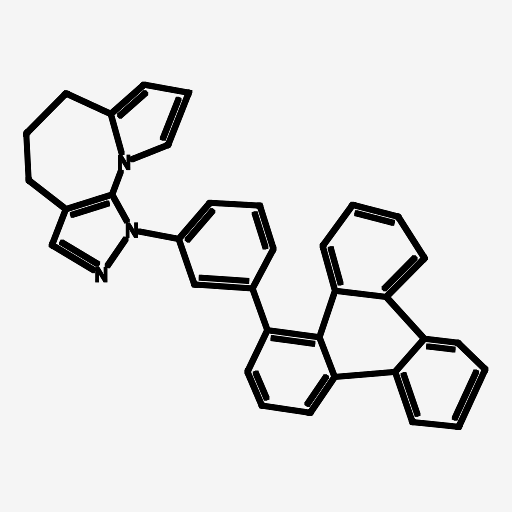 c1cc(-c2cccc3c4ccccc4c4ccccc4c23)cc(-n2ncc3c2-n2cccc2CCC3)c1